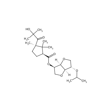 CC(C)O[C@H]1CO[C@H]2[C@@H]1OC[C@H]2OC(=O)[C@H]1CC[C@@](C)(C(=O)C(C)(C)O)C1(C)C